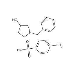 Cc1ccc(S(=O)(=O)O)cc1.OC1CCN(Cc2ccccc2)C1